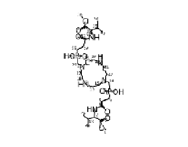 COC(=O)C(NC(=O)CCP(=O)(O)CN1CCNCCN(CP(=O)(O)CCC(=O)N[C@@H](C(=O)OC)C(C)C)CCNCC1)C(C)C